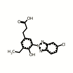 CCc1cc(CCC(=O)O)cc(-n2nc3ccc(Cl)cc3n2)c1O